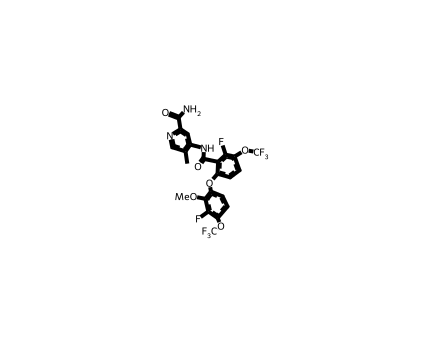 COc1c(Oc2ccc(OC(F)(F)F)c(F)c2C(=O)Nc2cc(C(N)=O)ncc2C)ccc(OC(F)(F)F)c1F